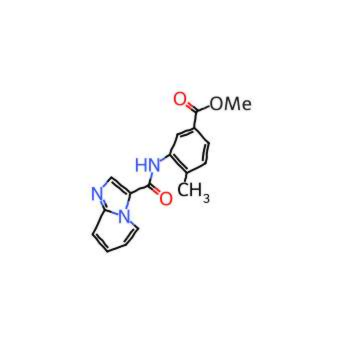 COC(=O)c1ccc(C)c(NC(=O)c2cnc3ccccn23)c1